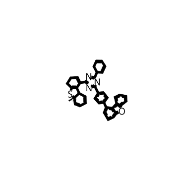 C[C@]12C=CC=CC1C1=C(CCC=C1c1nc(-c3ccc(-c4cccc5oc6ccccc6c45)cc3)nc(C3C=CC=CC3)n1)S2